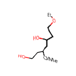 CCOCCC(O)CC(CCO)OC